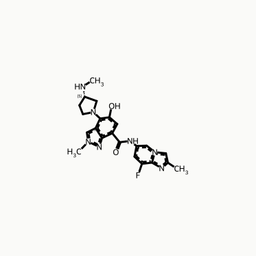 CN[C@H]1CCN(c2c(O)cc(C(=O)Nc3cc(F)c4nc(C)cn4c3)c3nn(C)cc23)C1